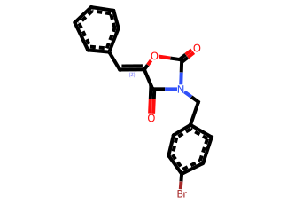 O=C1O/C(=C\c2ccccc2)C(=O)N1Cc1ccc(Br)cc1